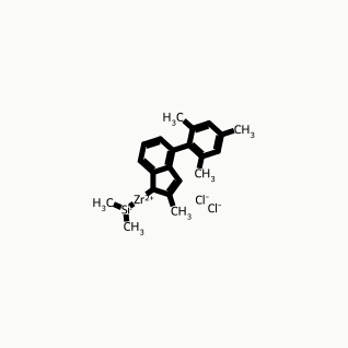 CC1=Cc2c(-c3c(C)cc(C)cc3C)cccc2[CH]1[Zr+2][Si](C)C.[Cl-].[Cl-]